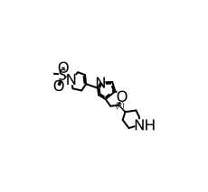 CS(=O)(=O)N1CC=C(c2cc3c(cn2)O[C@@H](C2CCNCC2)C3)CC1